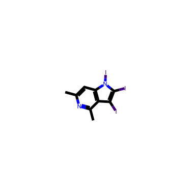 Cc1cc2c(c(C)n1)c(I)c(I)n2I